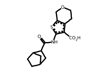 O=C(O)c1c(NC(=O)C2CC3CCC2C3)sc2c1CCOC2